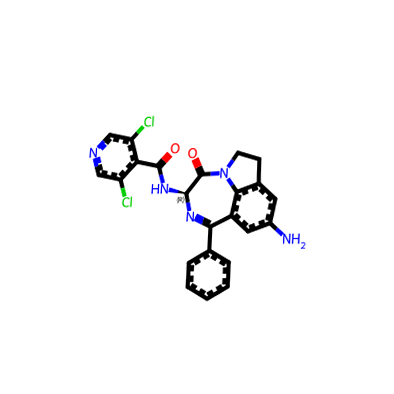 Nc1cc2c3c(c1)C(c1ccccc1)=N[C@@H](NC(=O)c1c(Cl)cncc1Cl)C(=O)N3CC2